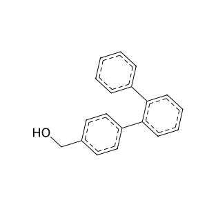 OCc1ccc(-c2ccccc2-c2ccccc2)cc1